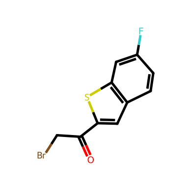 O=C(CBr)c1cc2ccc(F)cc2s1